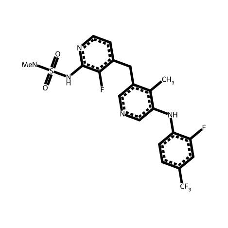 CNS(=O)(=O)Nc1nccc(Cc2cncc(Nc3ccc(C(F)(F)F)cc3F)c2C)c1F